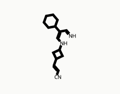 N#C/C=C/C1CC(N/C=C(\C=N)C2CCCCC2)C1